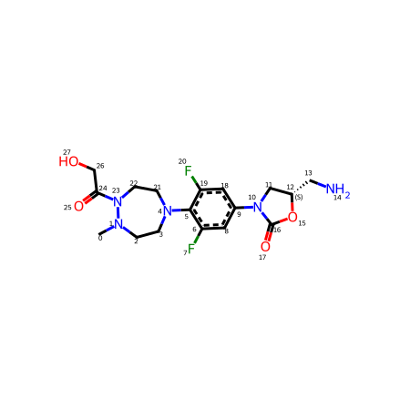 CN1CCN(c2c(F)cc(N3C[C@H](CN)OC3=O)cc2F)CCN1C(=O)CO